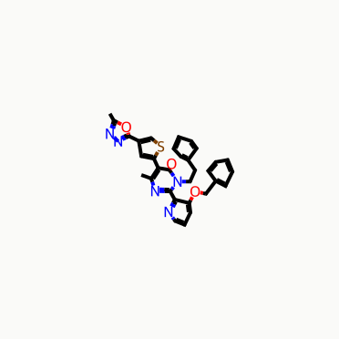 Cc1nnc(-c2csc(-c3c(C)nc(-c4ncccc4OCc4ccccc4)n(CCc4ccccc4)c3=O)c2)o1